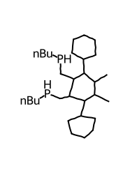 CCCCPCC1C(CPCCCC)C(C2CCCCC2)C(C)C(C)C1C1CCCCC1